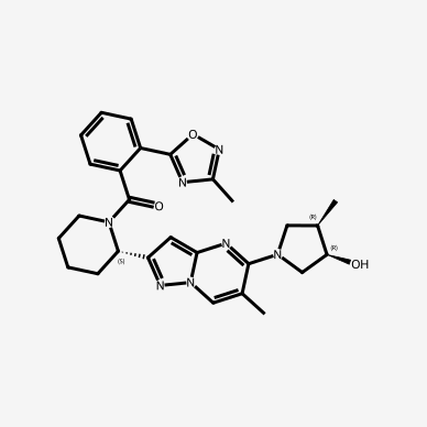 Cc1noc(-c2ccccc2C(=O)N2CCCC[C@H]2c2cc3nc(N4C[C@@H](C)[C@@H](O)C4)c(C)cn3n2)n1